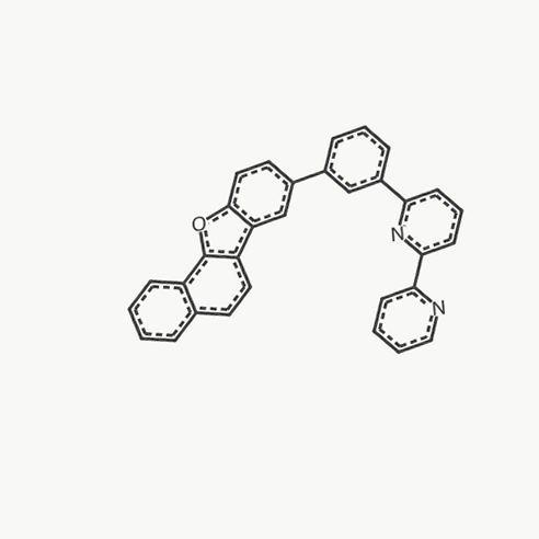 c1ccc(-c2cccc(-c3cccc(-c4ccc5oc6c7ccccc7ccc6c5c4)c3)n2)nc1